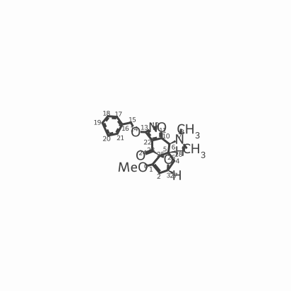 COC1=C[C@H]2C[C@H]3[C@H](N(C)C)c4onc(OCc5ccccc5)c4C(=O)[C@@]13O2